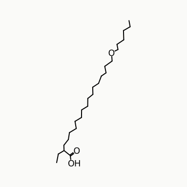 CCCCCCOCCCCCCCCCCCCCCCCC(CC)C(=O)O